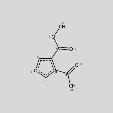 COC(=O)c1cocc1C(C)=O